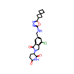 O=C1CCC(N2Cc3c(Cl)cc(CNc4nnc(C5CC6(CCC6)C5)o4)cc3C2=O)C(=O)N1